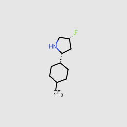 F[C@H]1CN[C@@H](C2CCC(C(F)(F)F)CC2)C1